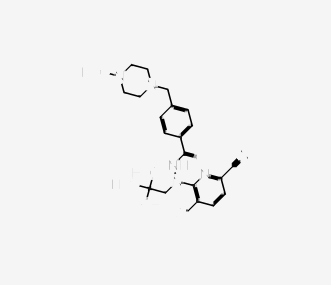 CN1CCN(Cc2ccc(C(=O)NN(CC(C)(C)C)c3nc(C#N)ccc3Cl)cc2)CC1